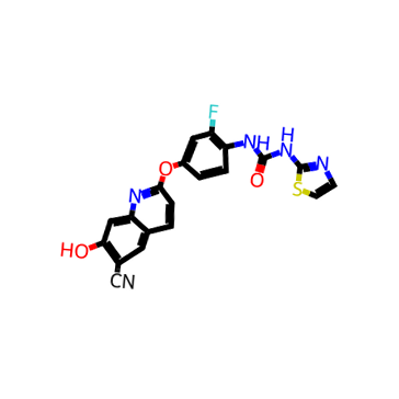 N#Cc1cc2ccc(Oc3ccc(NC(=O)Nc4nccs4)c(F)c3)nc2cc1O